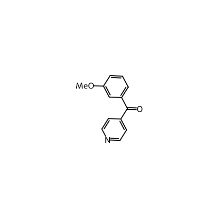 COc1cccc(C(=O)c2ccncc2)c1